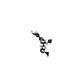 O=C(Nc1cccn(C2CC2F)c1=O)c1cn2cc(C34COC(CF)(C3)C4)nc2nc1OC1CCC1